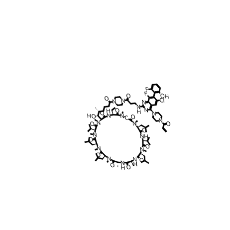 C=CC(=O)N1CCN(c2nc(NCCC(=O)N3CCN(C(=O)CCC[C@@H](C)[C@@H](O)[C@H]4C(=O)N[C@@H](CC)C(=O)N(C)CC(=O)N(C)[C@@H](CC(C)C)C(=O)N[C@@H](C(C)C)C(=O)N(C)[C@@H](CC(C)C)C(=O)N[C@@H](C)C(=O)N[C@H](C)C(=O)N(C)[C@@H](CC(C)C)C(=O)N(C)[C@@H](CC(C)C)C(=O)N(C)[C@@H](C(C)C)C(=O)N4C)CC3)nc3c(F)c(-c4c(O)cccc4F)c(Cl)cc23)CC1